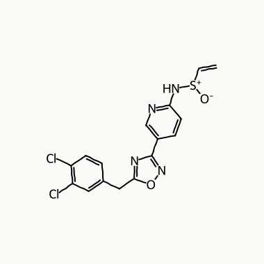 C=C[S+]([O-])Nc1ccc(-c2noc(Cc3ccc(Cl)c(Cl)c3)n2)cn1